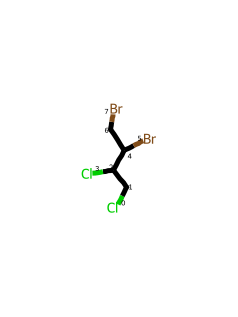 ClCC(Cl)C(Br)CBr